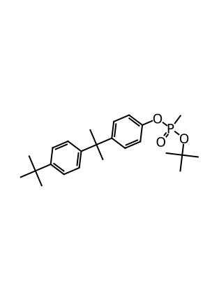 CC(C)(C)OP(C)(=O)Oc1ccc(C(C)(C)c2ccc(C(C)(C)C)cc2)cc1